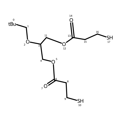 CC(C)(C)COC(COC(=O)CCS)COC(=O)CCS